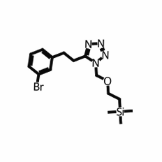 C[Si](C)(C)CCOCn1nnnc1CCc1cccc(Br)c1